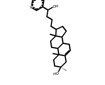 CC12CC[C@](C)(O)CC1=CCC1C2CCC2(C)C(CCCC(O)c3cccnc3)CCC12